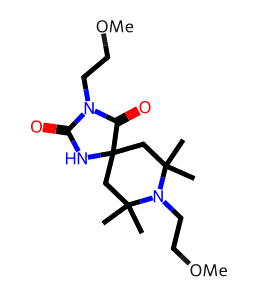 COCCN1C(=O)NC2(CC(C)(C)N(CCOC)C(C)(C)C2)C1=O